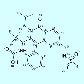 CC(C)Cn1c(C(NC(=O)O)C(C)(C)C)c(-c2ccccc2)c2cc(CNS(C)(=O)=O)ccc2c1=O